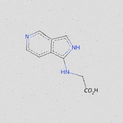 O=C(O)CNc1[nH]cc2cnccc12